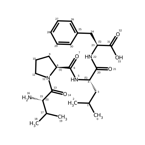 CC(C)C[C@H](NC(=O)[C@@H]1CCCN1C(=O)[C@@H](N)C(C)C)C(=O)N[C@@H](Cc1ccccc1)C(=O)O